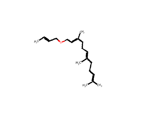 C/C=C/COC/C=C(\C)CC/C=C(\C)CCC=C(C)C